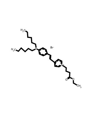 CCCCCCN(CCCCCC)c1ccc(/C=C/c2cc[n+](CCCC(=O)OCC)cc2)cc1.[Br-]